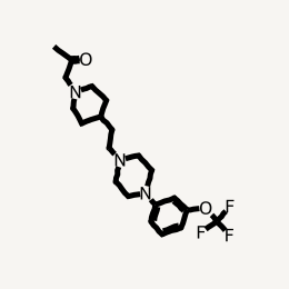 CC(=O)CN1CCC(CCN2CCN(c3cccc(OC(F)(F)F)c3)CC2)CC1